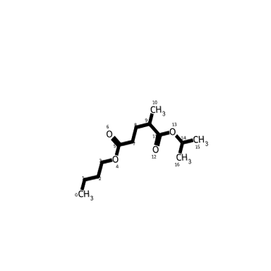 CCCCOC(=O)CC[C](C)C(=O)OC(C)C